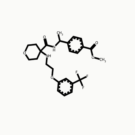 COC(=O)c1ccc(C(C)NC(=O)C2(NCCOc3cccc(C(F)(F)F)c3)CCOCC2)cc1